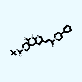 CC(C)(C)OC(=O)N1CCC2(CC1)Cc1cc(/C=C/C(=O)N3CC=C(c4ccccc4)CC3)cnc1NC2=O